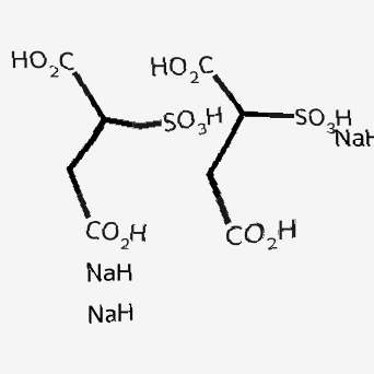 O=C(O)CC(C(=O)O)S(=O)(=O)O.O=C(O)CC(C(=O)O)S(=O)(=O)O.[NaH].[NaH].[NaH]